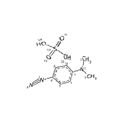 CN(C)c1ccc([N+]#N)cc1.O=S(=O)(O)O